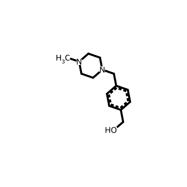 CN1CCN(Cc2ccc(CO)cc2)CC1